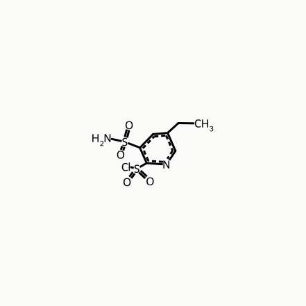 CCc1cnc(S(=O)(=O)Cl)c(S(N)(=O)=O)c1